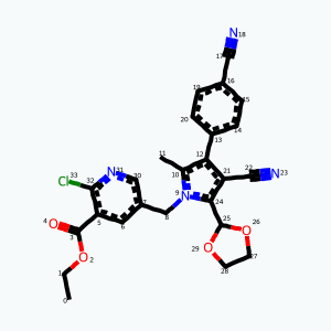 CCOC(=O)c1cc(Cn2c(C)c(-c3ccc(C#N)cc3)c(C#N)c2C2OCCO2)cnc1Cl